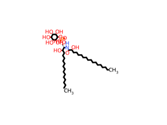 CCCCCCCCCCCCCCCCC(O)C(=O)N[C@@H](COP(=O)(O)OC1C(O)C(O)C(O)[C@@H](O)C1O)[C@H](O)CCCCCCCCCCCCCCC